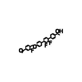 CC(O)c1ccc(-c2ccc(-c3ccc(OCc4ccc(C5CO5)cc4F)cc3)c(F)c2F)cc1